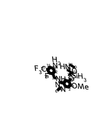 COc1cc2nc(C)nc(NCc3cc(N)cc(C(F)(F)F)c3F)c2cc1OCC1([SiH3])CNCCO1